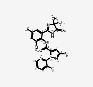 CC1(C)N=C(c2cc(Cl)cc(Cl)c2NC(=O)c2cc(Br)nn2-c2ncccc2Cl)NC1=O